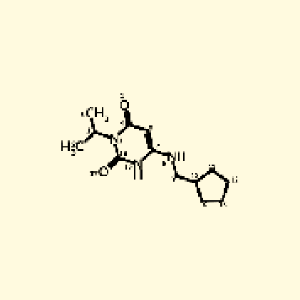 CC(C)n1c(=O)cc(NCC2CCCC2)[nH]c1=O